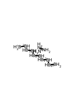 BBBBBBBBBB.N.NN